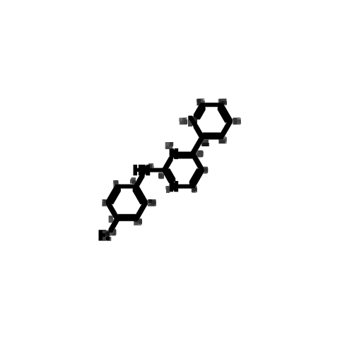 CCc1ccc(Nc2nccc(-c3ccccn3)n2)cc1